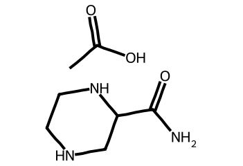 CC(=O)O.NC(=O)C1CNCCN1